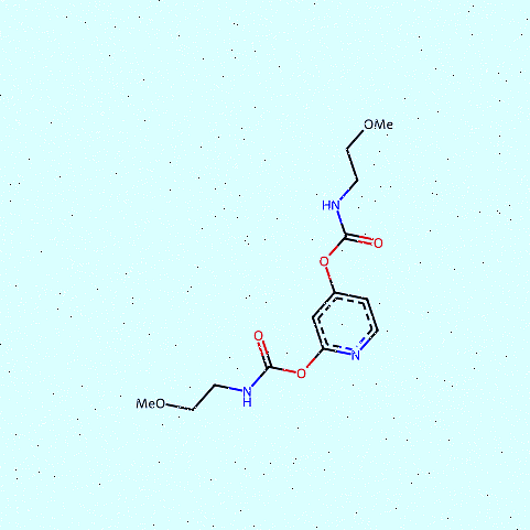 COCCNC(=O)Oc1ccnc(OC(=O)NCCOC)c1